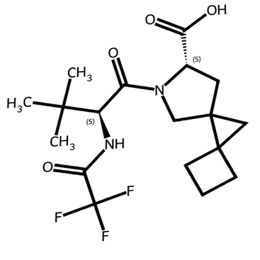 CC(C)(C)[C@H](NC(=O)C(F)(F)F)C(=O)N1CC2(C[C@H]1C(=O)O)CC21CCC1